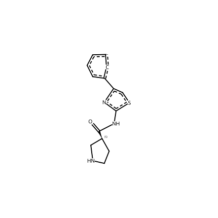 O=C(Nc1nc(-c2ccccc2)cs1)[C@H]1CCNC1